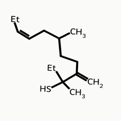 C=C(CCC(C)C/C=C\CC)C(C)(S)CC